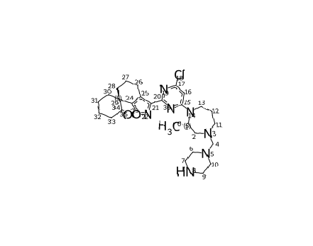 C[C@H]1CN(CN2CCNCC2)CCCN1c1cc(Cl)nc(-c2noc3c2CCC[C@@]32CCCCC2=O)n1